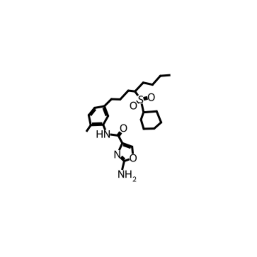 CCCCC(CCCc1ccc(C)c(NC(=O)c2coc(N)n2)c1)S(=O)(=O)C1CCCCC1